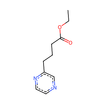 CCOC(=O)CCCc1cnccn1